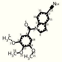 COc1cc(C(=O)n2ccc3cc(C#N)ccc32)cc(OC)c1OC